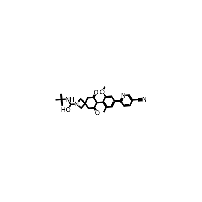 COc1cc(-c2ccc(C#N)cn2)cc(C)c1C1C(=O)CC2(CC1=O)CN(C(O)NC(C)(C)C)C2